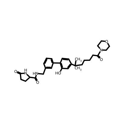 CC(C)(CCCCC(=O)N1CCOCC1)c1ccc(-c2cccc(CNC(=O)C3CCC(=O)N3)c2)c(O)c1